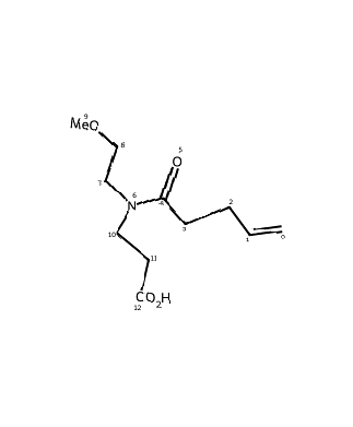 C=CCCC(=O)N(CCOC)CCC(=O)O